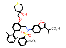 Cc1cccc(C)c1-c1ccc(OCC2(O)CCSCC2)c(CN(c2ccc3c(C(C)C(=O)O)coc3c2)S(=O)(=O)c2ccccc2[N+](=O)[O-])c1